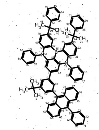 CC(C)(C)c1cc(-c2cc3c4c(c2)N(c2ccccc2)c2ccc(C(C)(C)c5ccccc5)cc2B4c2cc(C(C)(C)c4ccccc4)ccc2N3c2ccccc2)cc(-c2c3ccccc3c(-c3ccccc3)c3ccccc23)c1